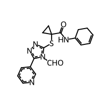 O=Cn1c(SC2(C(=O)NC3=CC=CCC3)CC2)nnc1-c1cccnc1